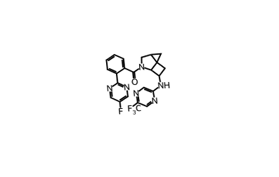 O=C(c1ccccc1-c1ncc(F)cn1)N1CC2CC23CC(Nc2cnc(C(F)(F)F)cn2)C13